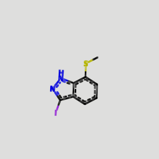 CSc1cccc2c(I)n[nH]c12